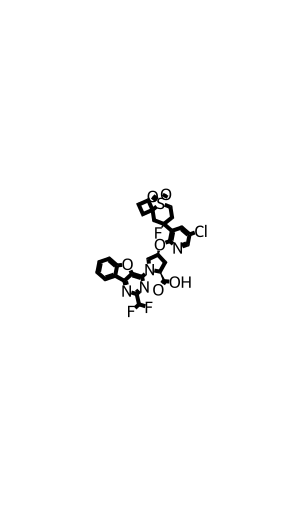 O=C(O)[C@@H]1C[C@H](Oc2ncc(Cl)cc2[C@]2(F)CCS(=O)(=O)C3(CCC3)C2)CN1c1nc(C(F)F)nc2c1oc1ccccc12